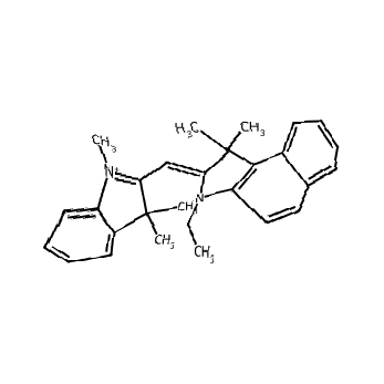 CCN1C(=CC2=[N+](C)c3ccccc3C2(C)C)C(C)(C)c2c1ccc1ccccc21